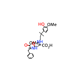 COC(=O)[C@H](Cc1ccccc1)NC(=O)C[C@H](NCCC(C)(C)c1ccc(OC)c(O)c1)C(=O)O